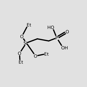 CCO[Si](CCP(=O)(O)O)(OCC)OCC